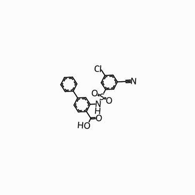 N#Cc1cc(Cl)cc(S(=O)(=O)Nc2cc(-c3ccccc3)ccc2C(=O)O)c1